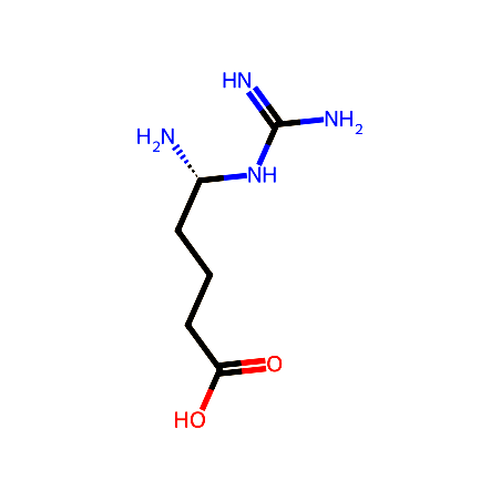 N=C(N)N[C@@H](N)CCCC(=O)O